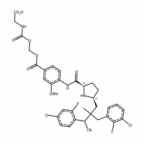 COc1cc(C(=O)OCOC(=O)NCC(=O)O)ccc1NC(=O)[C@H]1CC[C@@H](CC(C)(Cc2cccc(Cl)c2F)C(C#N)c2ccc(Cl)cc2F)N1